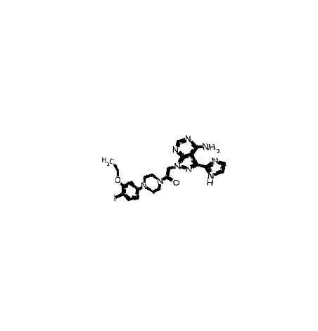 CCOc1cc(N2CCN(C(=O)Cn3nc(-c4ncc[nH]4)c4c(N)ncnc43)CC2)ccc1I